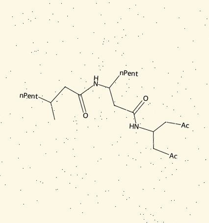 CCCCCC(C)CC(=O)NC(CCCCC)CC(=O)NC(CC(C)=O)CC(C)=O